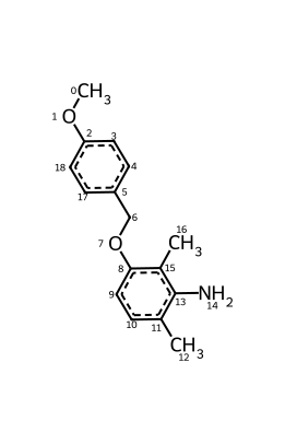 COc1ccc(COc2ccc(C)c(N)c2C)cc1